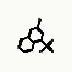 O=S(=O)(Cl)c1cc(Br)cc2cnccc12